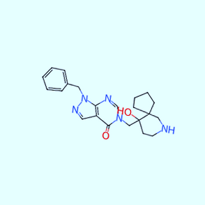 O=c1c2cnn(Cc3ccccc3)c2ncn1CC1(O)CCNCC12CCCC2